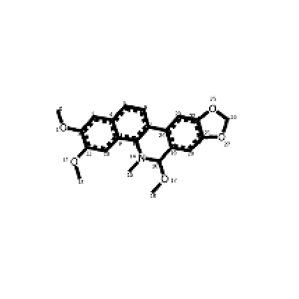 COc1cc2ccc3c(c2cc1OC)N(C)C(OC)c1cc2c(cc1-3)OCO2